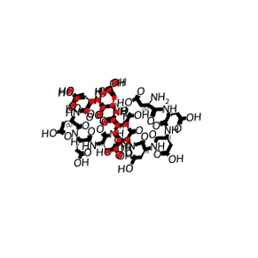 N[C@@H](CC(=O)O)C(=O)N[C@@H](CC(=O)O)C(=O)N[C@@H](CC(=O)O)C(=O)N[C@@H](CC(=O)O)C(=O)N[C@@H](CC(=O)O)C(=O)N[C@@H](CC(=O)O)C(=O)N[C@@H](CC(=O)O)C(=O)N[C@@H](CC(=O)O)C(=O)N[C@@H](CC(=O)O)C(=O)N[C@@H](CC(=O)O)C(=O)N[C@@H](CC(=O)O)C(=O)N[C@@H](CC(=O)O)C(=O)N[C@@H](CC(=O)O)C(=O)N[C@@H](CC(=O)O)C(=O)O